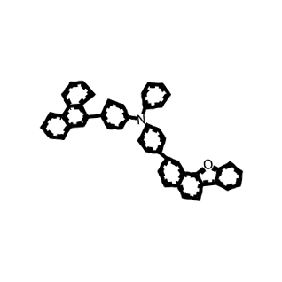 c1ccc(N(c2ccc(-c3ccc4ccc5c6ccccc6oc5c4c3)cc2)c2ccc(-c3cc4ccccc4c4ccccc34)cc2)cc1